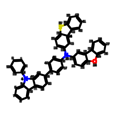 c1ccc(-n2c3ccccc3c3ccc(-c4ccc(N(c5ccc6oc7ccccc7c6c5)c5ccc6sc7ccccc7c6c5)cc4)cc32)cc1